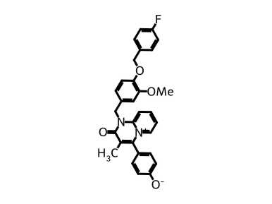 COc1cc(Cn2c(=O)c(C)c(-c3ccc([O-])cc3)[n+]3ccccc23)ccc1OCc1ccc(F)cc1